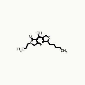 CCCCCC1SCc2c1nc1c(c2O)C(=O)N(CCC)C1